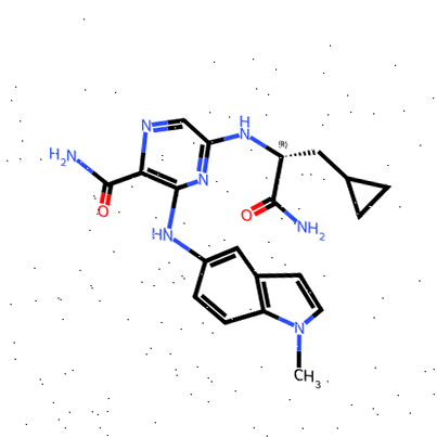 Cn1ccc2cc(Nc3nc(N[C@H](CC4CC4)C(N)=O)cnc3C(N)=O)ccc21